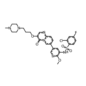 COc1ncc(-c2ccc3ncc(OCCCN4CCN(C)CC4)c(=O)n3c2)cc1NS(=O)(=O)c1ccc(F)cc1Cl